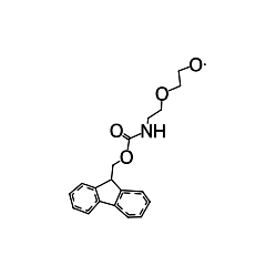 [O]CCOCCNC(=O)OCC1c2ccccc2-c2ccccc21